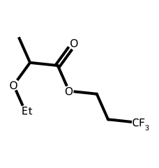 CCOC(C)C(=O)OCCC(F)(F)F